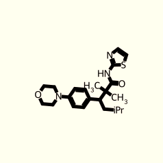 CC(C)CC(c1ccc(N2CCOCC2)cc1)C(C)(C)C(=O)Nc1nccs1